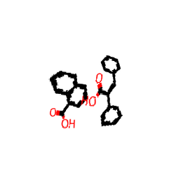 O=C(O)C(=Cc1ccccc1)c1ccccc1.O=C(O)c1cccc2ccccc12